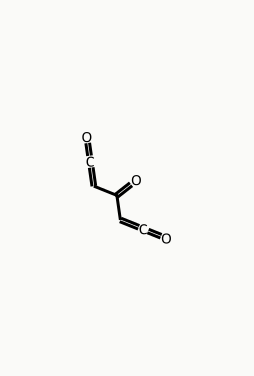 O=C=CC(=O)C=C=O